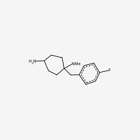 CNC1(Cc2ccc(F)cc2)CCC(N)CC1